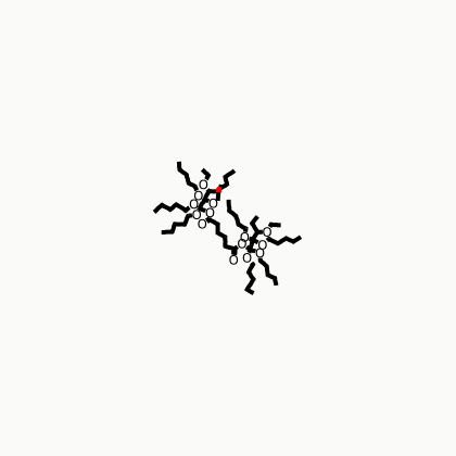 CCCCCOC(OCCCCC)(OC(=O)CCCCC(=O)OC(OCCCCC)(OCCCCC)C(OCCCCC)(OCCCCC)C(CC)OCC)C(OCCCCC)(OCCCCC)C(CC)OCC